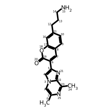 Cc1cn2cc(-c3cc4ccc(CCCN)cc4oc3=O)nc2c(C)n1